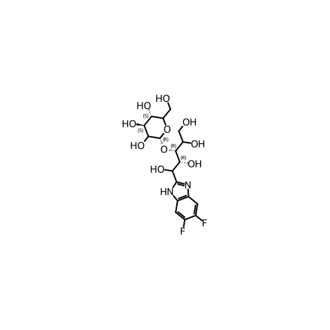 OCC1O[C@H](O[C@H](C(O)CO)[C@H](O)C(O)c2nc3cc(F)c(F)cc3[nH]2)C(O)[C@@H](O)[C@@H]1O